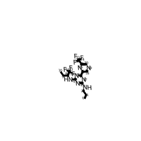 CCCNc1nc(NC(CC)C(F)(F)F)nc(-c2cncc(C(F)(F)F)n2)n1